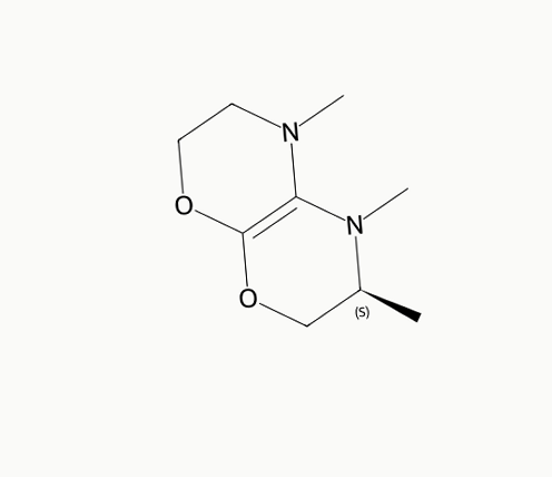 C[C@H]1COC2=C(N(C)CCO2)N1C